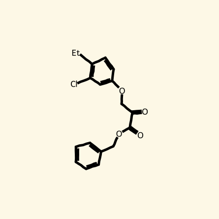 CCc1ccc(OCC(=O)C(=O)OCc2ccccc2)cc1Cl